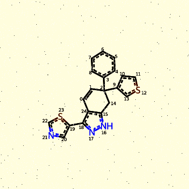 C1=CC(c2ccccc2)(c2ccsc2)Cc2[nH]nc(-c3cncs3)c21